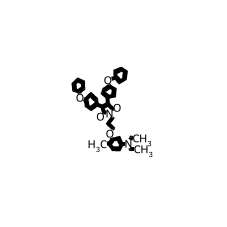 CCN(CC)c1ccc(C)c(OCCCN2C(=O)C(c3ccc(Oc4ccccc4)cc3)=C(c3ccc(Oc4ccccc4)cc3)C2=O)c1